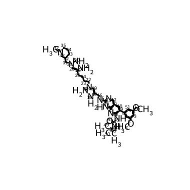 COc1cc(OC)cc(-c2cc3cnc(NC/C(N)=C/N(N)CCCC/C(N)=C/N(N)CC4CCCN(C)C4)nc3nc2NC(=O)NC(C)(C)C)c1